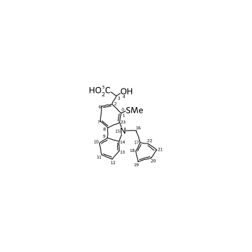 CSc1c(C(O)C(=O)O)ccc2c3ccccc3n(Cc3ccccc3)c12